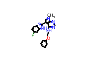 Cn1cc(-c2nc3ccc(F)cc3[nH]2)c2c(NCCOc3ccccc3)ncnc21